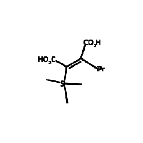 CC(C)C(C(=O)O)=C(C(=O)O)[Si](C)(C)C